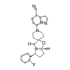 N#Cc1ccc(N2CCC3(CC2)O[C@@H]2CC[C@@H](c4ccccc4F)N2C3=O)n2nccc12